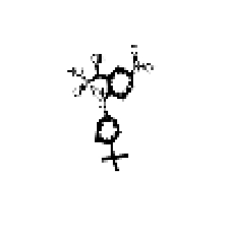 CC(C)(C)c1ccc(Oc2ccc([N+](=O)[O-])cc2C(O)P(=O)(O)O)cc1